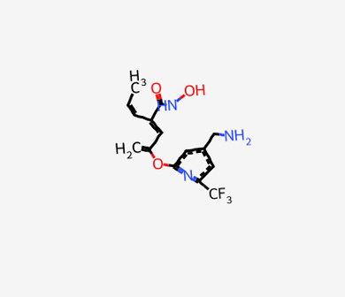 C=C(/C=C(\C=C/C)C(=O)NO)Oc1cc(CN)cc(C(F)(F)F)n1